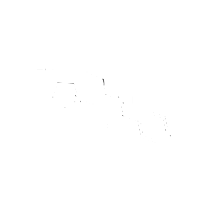 CC(C)C[C@H](CN1CCC(O)C1)NC(=O)c1ccncc1